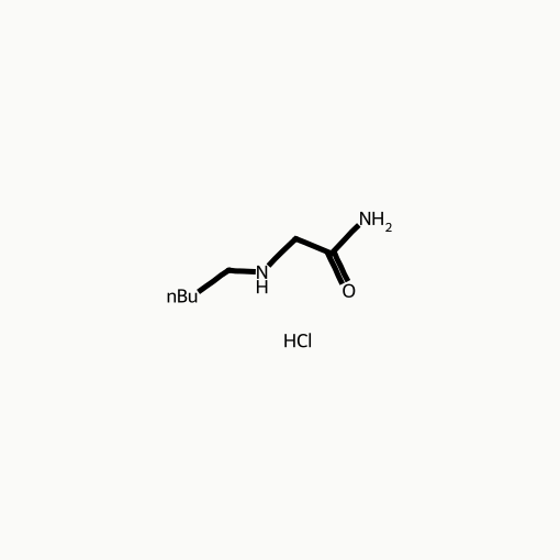 CCCCCNCC(N)=O.Cl